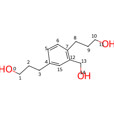 OCCCc1ccc(CCCO)c(CO)c1